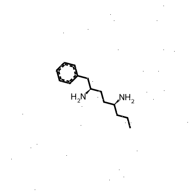 CCC[C@H](N)CC[C@@H](N)Cc1ccccc1